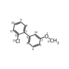 COc1cccc(-c2ccccc2Cl)c1